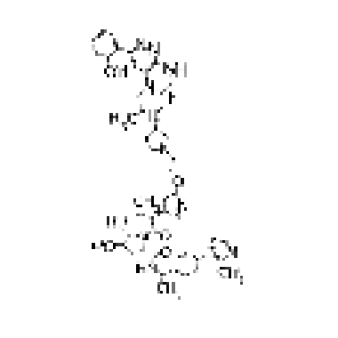 Cc1ncsc1-c1ccc(C(C)NC(=O)[C@@H]2C[C@@H](O)CN2C(=O)C(c2cc(OCCN3CCC(N4C[C@@H]5CNc6nnc(-c7ccccc7O)cc6N5C[C@@H]4C)C3)no2)C(C)C)cc1